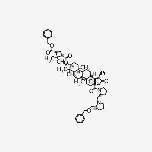 CC(C)C1=C2[C@H]3CCC4[C@@]5(C)CC[C@H](OC(=O)[C@H]6C[C@@H](C(=O)OCc7ccccc7)C6(C)C)C(C)(C)C5CC[C@@]4(C)[C@]3(C)CC[C@@]2(C(=O)N2CCC[C@H]2CN2CCC[C@H]2COCc2ccccc2)CC1=O